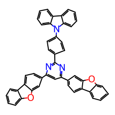 c1ccc2c(c1)oc1cc(-c3cc(-c4ccc5c(c4)oc4ccccc45)nc(-c4ccc(-n5c6ccccc6c6ccccc65)cc4)n3)ccc12